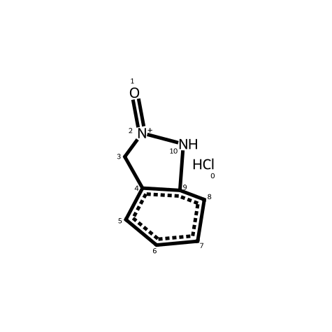 Cl.O=[N+]1Cc2ccccc2N1